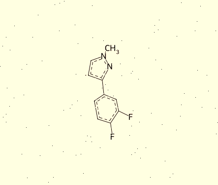 Cn1c[c]c(-c2ccc(F)c(F)c2)n1